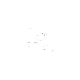 CC[Si](CC)(CC)O[C@@H]1C(=O)N(C(=O)c2ccc(OC)cc2)[C@@H]1c1ccc(F)cc1